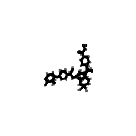 Cc1cccc(N2CCN(C(=O)Cn3nc(C(=O)N4CCN(C(=O)CO)CC4)c4c3CC(F)(F)CC4)CC2)c1C